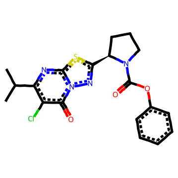 CC(C)c1nc2sc([C@H]3CCCN3C(=O)Oc3ccccc3)nn2c(=O)c1Cl